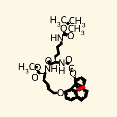 COC(=O)[C@@H]1C/C=C/COc2ccc3ccccc3c2-c2c(ccc3ccccc23)OCC(=O)N[C@H](CCCCNC(=O)OC(C)(C)C)C(=O)N1